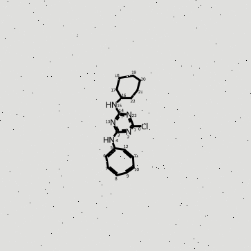 Clc1nc(NC2=C/C=C\C=C/C=C\2)nc(NC2CCCCCC2)n1